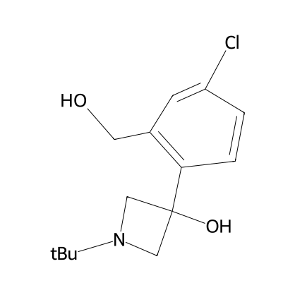 CC(C)(C)N1CC(O)(c2ccc(Cl)cc2CO)C1